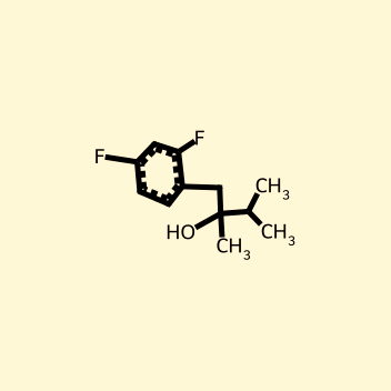 CC(C)C(C)(O)Cc1ccc(F)cc1F